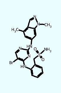 Cc1cc(Nc2ncc(Br)c(Nc3ccccc3CS(N)(=O)=O)n2)cc2c1cnn2C